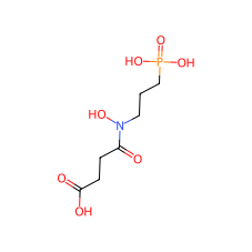 O=C(O)CCC(=O)N(O)CCCP(=O)(O)O